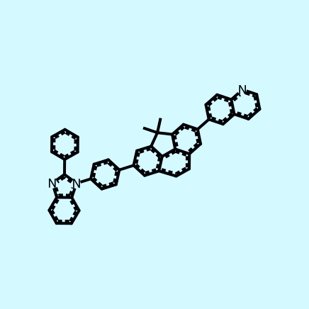 CC1(C)c2cc(-c3ccc(-n4c(-c5ccccc5)nc5ccccc54)cc3)cc3ccc4cc(-c5ccc6ncccc6c5)cc1c4c23